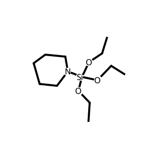 CCO[Si](OCC)(OCC)N1CCCCC1